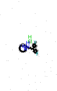 Cl.Fc1ccc(C(CCCN/C2=N\CCCCCCCCCCN2)c2ccc(F)cc2)cc1